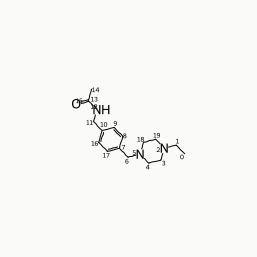 CCN1CCN(Cc2ccc(CNC(C)=O)cc2)CC1